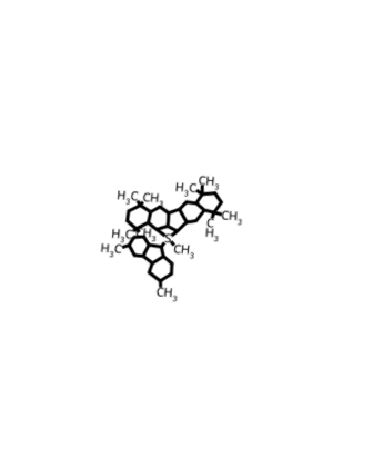 CC1CCC2C(C1)C1CC(C)CCC1C2S1(C)C2C3CC4C(CC3C3CC5C(C1C32)C(C)(C)CCC5(C)C)C(C)(C)CCC4(C)C